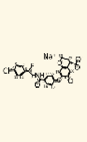 O=C(NCC(F)c1ccc(Cl)cc1)c1ccc(Oc2cc3c(cc2Cl)C(C(=O)[O-])CCO3)cc1.[Na+]